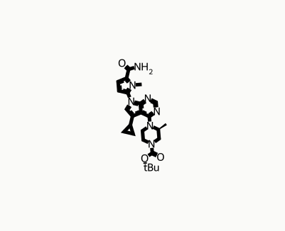 C[C@H]1CN(C(=O)OC(C)(C)C)CCN1c1ncnc2c1c(C1CC1)cn2-c1ccc(C(N)=O)n1C